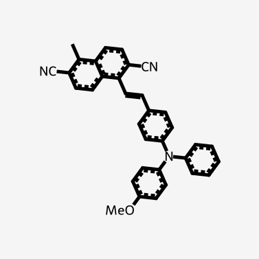 COc1ccc(N(c2ccccc2)c2ccc(C=Cc3c(C#N)ccc4c(C)c(C#N)ccc34)cc2)cc1